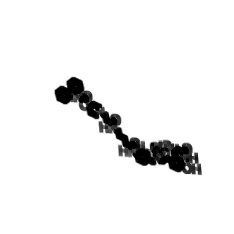 CC(C)(C)[Si](C)(C)OC(CNCc1ccc(NC(=O)CCCCNC(=O)CCN2CCC(OC(=O)Nc3ccccc3-c3ccccc3)CC2)cc1)c1ccc(O)c2[nH]c(=O)ccc12